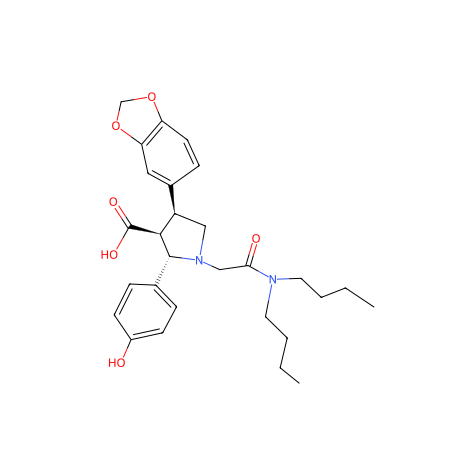 CCCCN(CCCC)C(=O)CN1C[C@H](c2ccc3c(c2)OCO3)[C@H](C(=O)O)[C@H]1c1ccc(O)cc1